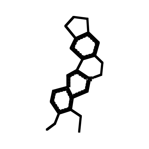 CCc1ccc2cc3[n+](cc2c1CC)CCc1cc2c(cc1-3)CCC2